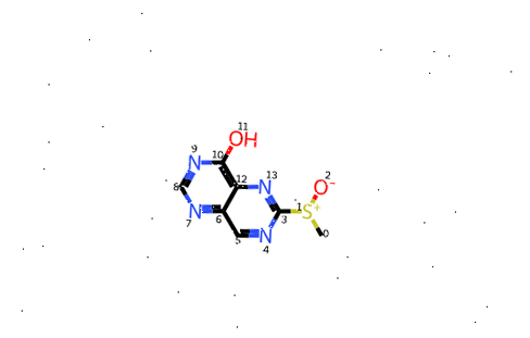 C[S+]([O-])c1ncc2ncnc(O)c2n1